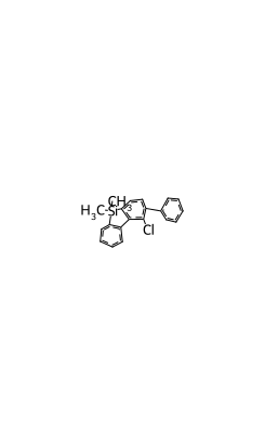 C[Si]1(C)c2ccccc2-c2c1ccc(-c1ccccc1)c2Cl